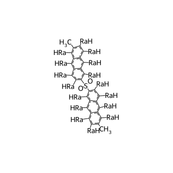 Cc1[c]([RaH])[c]([RaH])c2[c]([RaH])c3[c]([RaH])c(S(=O)(=O)c4[c]([RaH])[c]([RaH])c5[c]([RaH])c6[c]([RaH])c(C)[c]([RaH])[c]([RaH])c6[c]([RaH])c5[c]4[RaH])[c]([RaH])[c]([RaH])c3[c]([RaH])c2[c]1[RaH]